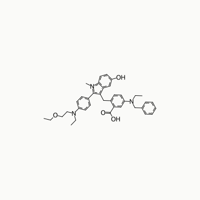 CCOCCN(CC)c1ccc(-c2c(Cc3ccc(N(CC)Cc4ccccc4)cc3C(=O)O)c3cc(O)ccc3n2C)cc1